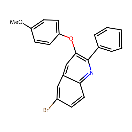 COc1ccc(Oc2cc3cc(Br)ccc3nc2-c2ccccc2)cc1